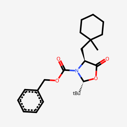 CC1(C[C@H]2C(=O)O[C@H](C(C)(C)C)N2C(=O)OCc2ccccc2)CCCCC1